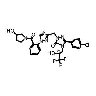 O=C(c1ccccc1-n1cnc(Cn2nc(-c3ccc(Cl)cc3)n(C[C@H](O)C(F)(F)F)c2=O)n1)N1CCC(O)C1